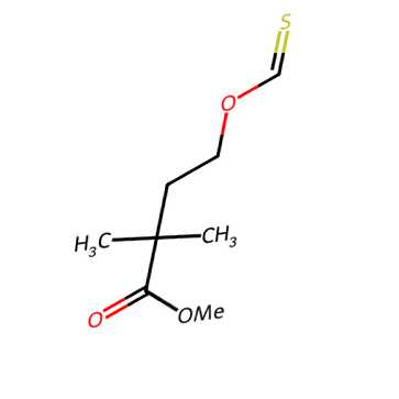 COC(=O)C(C)(C)CCOC=S